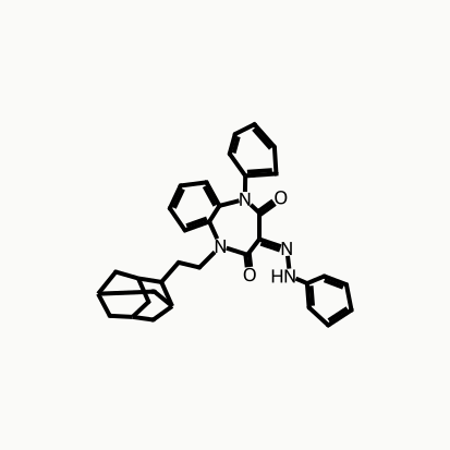 O=c1c(=NNc2ccccc2)c(=O)n(-c2ccccc2)c2ccccc2n1CCC1C2CC3CC(C2)CC1C3